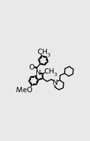 COc1ccc2c(c1)c(CCN1CCCCC1CC1CCCCC1)c(C)n2C(=O)c1cccc(C)c1